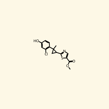 COC(=O)c1cnc(C2CC2(C)c2ccc(O)cc2Cl)s1